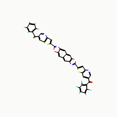 O=C(c1cnc2cc(-c3nc4cc5cc6oc(-c7cc8ncc(C(=O)c9c(F)c(F)c(F)c(F)c9F)cc8s7)nc6cc5cc4o3)sc2c1)c1c(F)c(F)c(F)c(F)c1F